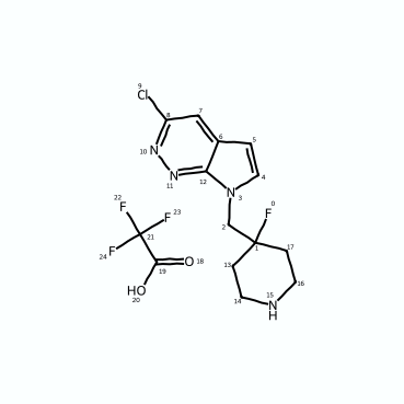 FC1(Cn2ccc3cc(Cl)nnc32)CCNCC1.O=C(O)C(F)(F)F